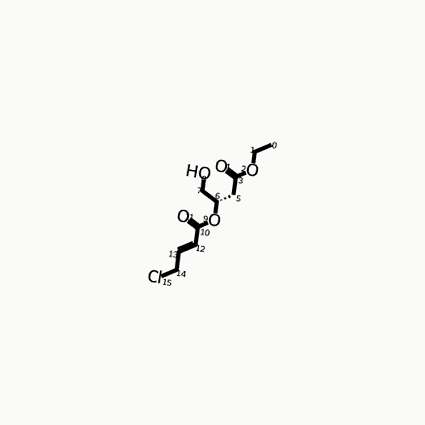 CCOC(=O)C[C@@H](CO)OC(=O)/C=C/CCl